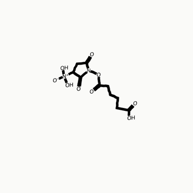 O=C(O)CCCCC(=O)ON1C(=O)CC([N+]([O-])(O)O)C1=O